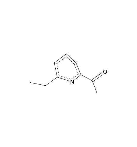 CCc1cccc(C(C)=O)n1